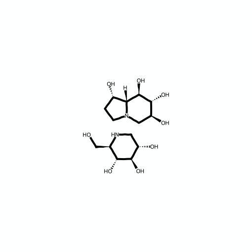 OC[C@H]1NC[C@H](O)[C@@H](O)[C@@H]1O.O[C@H]1[C@H](O)[C@@H](O)CN2CC[C@H](O)[C@H]12